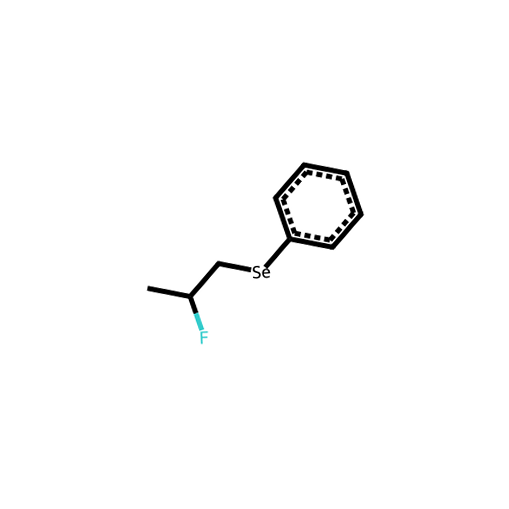 CC(F)C[Se]c1ccccc1